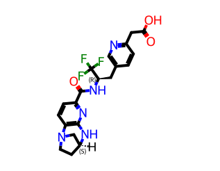 O=C(O)Cc1ccc(C[C@@H](NC(=O)c2ccc3c(n2)N[C@H]2CCN3C2)C(F)(F)F)cn1